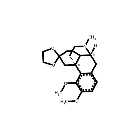 COc1ccc2c(c1OC)[C@]13CCN(C)[C@H](C2)C1CCC1(C3)OCCO1